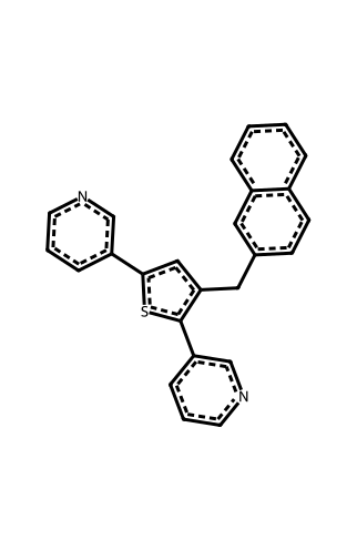 c1cncc(-c2cc(Cc3ccc4ccccc4c3)c(-c3cccnc3)s2)c1